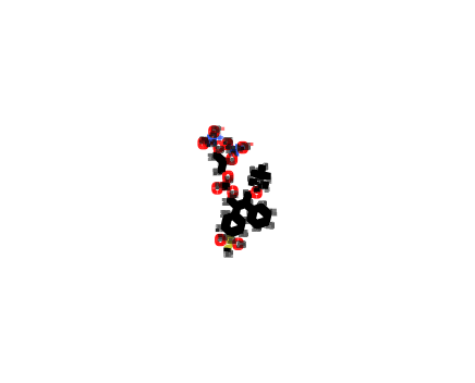 CC(C)(C)[Si](C)(C)OC/C(=C(\COC(=O)OCC(CO[N+](=O)[O-])O[N+](=O)[O-])c1ccc(S(C)(=O)=O)cc1)c1ccccc1